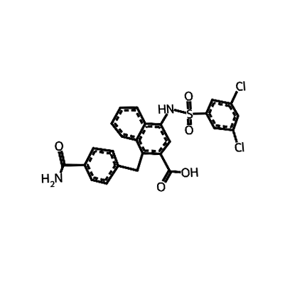 NC(=O)c1ccc(Cc2c(C(=O)O)cc(NS(=O)(=O)c3cc(Cl)cc(Cl)c3)c3ccccc23)cc1